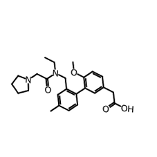 CCN(Cc1cc(C)ccc1-c1cc(CC(=O)O)ccc1OC)C(=O)CN1CCCC1